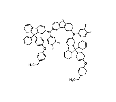 C=Cc1ccc(Oc2ccc(C3(C4=CC=CCC4)C4=C(C=CCC4)C4C=CC(N(C5=CC(F)C(F)C=C5)c5ccc6oc7c(c6c5)C=C(N(C5=CC=C(F)C(F)C5)C5C=CC6C8C=CCCC8C(C8CC=CCC8)(C8CC=C(OC9C=CC(C=C)CC9)CC8)C6C5)CC7)CC43)cc2)cc1